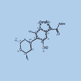 CNC(=O)c1noc2c(F)c(N3C[C@@H](C)O[C@H](C)C3)c(C=O)cc12